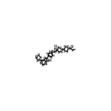 C=CC(=O)N1CCC(N2CCC(O)(CNc3ccc(-c4cc5c(N6CCOCC6)ncnc5[nH]4)cc3)CC2)CC1